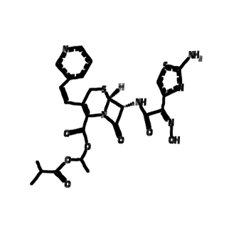 CC(OC(=O)C1=C(/C=C\c2cccnc2)CS[C@@H]2[C@H](NC(=O)/C(=N\O)c3csc(N)n3)C(=O)N12)OC(=O)C(C)C